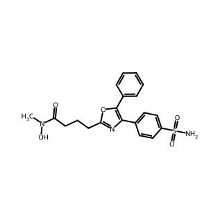 CN(O)C(=O)CCCc1nc(-c2ccc(S(N)(=O)=O)cc2)c(-c2ccccc2)o1